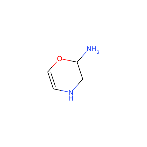 NC1CNC=CO1